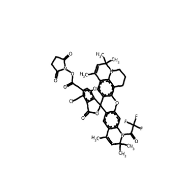 CC1=CC(C)(C)N(C(=O)C(F)(F)F)c2cc3c(cc21)C1(OC(=O)c2c(Cl)c(C(=O)ON4C(=O)CCC4=O)cc(Cl)c21)c1cc2c4c(c1O3)CCCN4C(C)(C)C=C2C